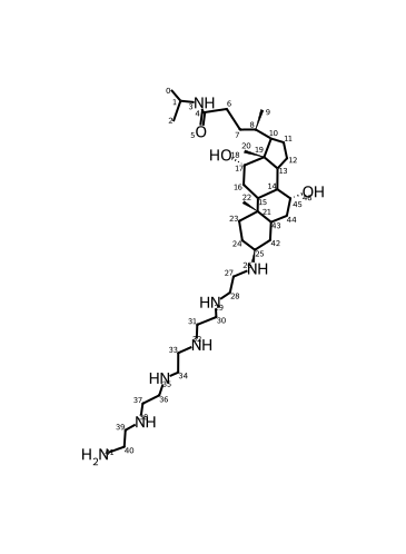 CC(C)NC(=O)CC[C@@H](C)C1CCC2C3C(C[C@H](O)[C@@]21C)[C@@]1(C)CC[C@H](NCCNCCNCCNCCNCCN)CC1C[C@H]3O